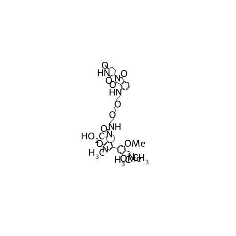 COc1cc(-c2cn(C)c(=O)c3c2CCN(C(=O)NCCOCCOCCNc2cccc4c2C(=O)N(C2CCC(=O)NC2=O)C4=O)C3C(=O)O)cc(OC)c1CN(C)C